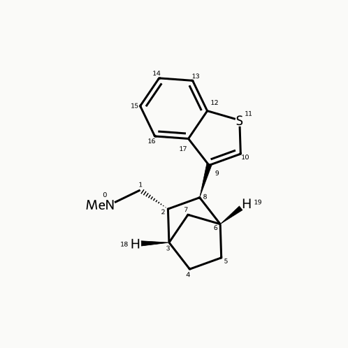 CNC[C@H]1[C@H]2CC[C@H](C2)[C@@H]1c1csc2ccccc12